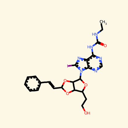 CCNC(=O)Nc1ncnc2c1nc(I)n2C1OC(CCO)C2OC(C=Cc3ccccc3)OC21